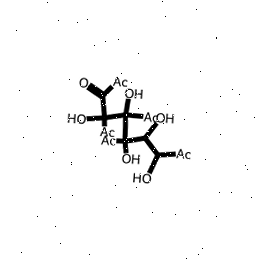 CC(=O)C(=O)C(O)(C(C)=O)C(O)(C(C)=O)C(O)(C(C)=O)C(O)C(O)C(C)=O